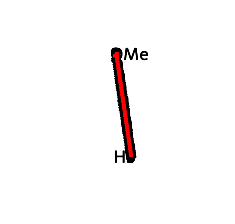 COS(=S)(=S)SSSSSSSSSSSSSSSSSSSSSSSSSSSSSSSSSSSSSSSSSSSSSSSSSSSSSSSSSSSSSSSSSSSSSSSSSSSSSSSSSSSSSS